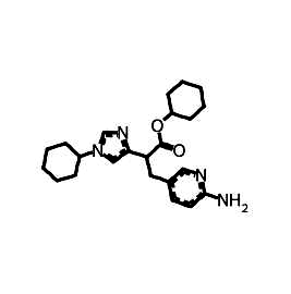 Nc1ccc(CC(C(=O)OC2CCCCC2)c2cn(C3CCCCC3)cn2)cn1